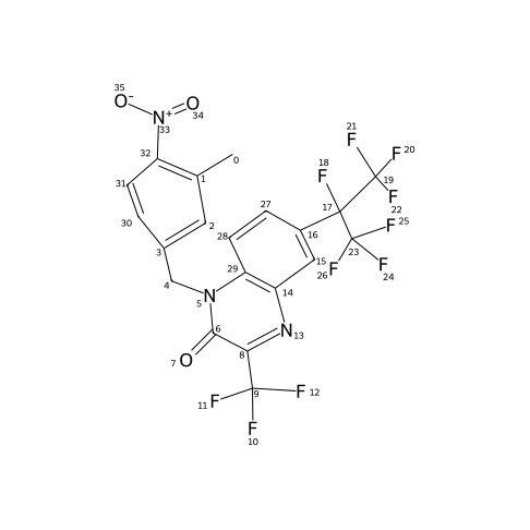 Cc1cc(Cn2c(=O)c(C(F)(F)F)nc3cc(C(F)(C(F)(F)F)C(F)(F)F)ccc32)ccc1[N+](=O)[O-]